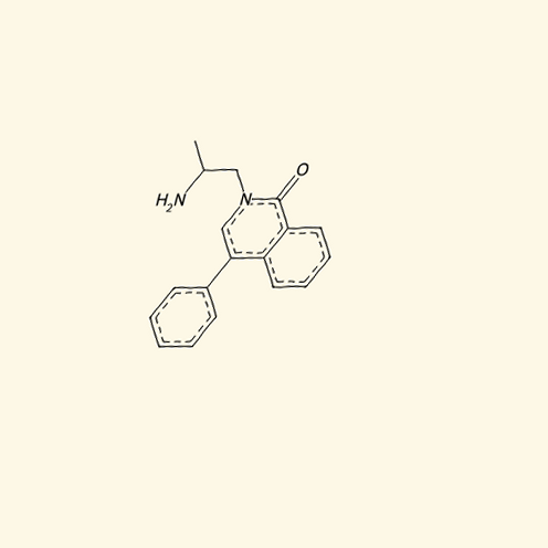 CC(N)Cn1cc(-c2ccccc2)c2ccccc2c1=O